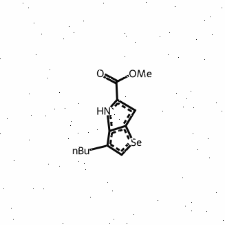 CCCCc1c[se]c2cc(C(=O)OC)[nH]c12